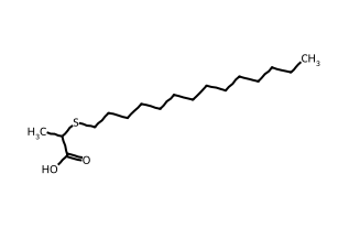 CCCCCCCCCCCCCCSC(C)C(=O)O